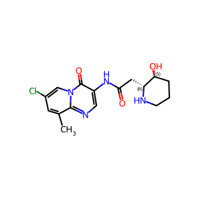 Cc1cc(Cl)cn2c(=O)c(NC(=O)C[C@H]3NCCC[C@@H]3O)cnc12